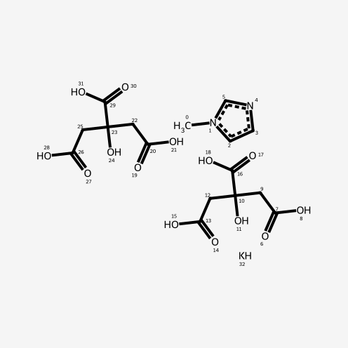 Cn1ccnc1.O=C(O)CC(O)(CC(=O)O)C(=O)O.O=C(O)CC(O)(CC(=O)O)C(=O)O.[KH]